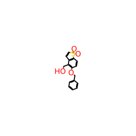 O=S1(=O)C=Cc2c1ccc(OCc1ccccc1)c2CO